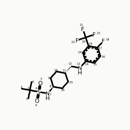 CC(C)(C)S(=O)(=O)N[C@H]1CC[C@H](CNc2ccc(F)c(C(F)(F)F)c2)CC1